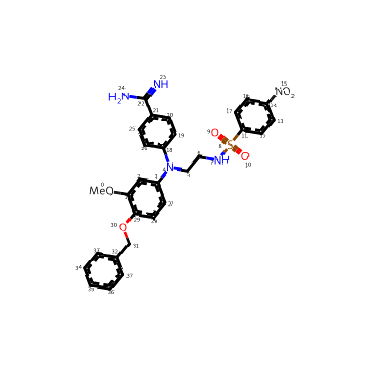 COc1cc(N(CCNS(=O)(=O)c2ccc([N+](=O)[O-])cc2)c2ccc(C(=N)N)cc2)ccc1OCc1ccccc1